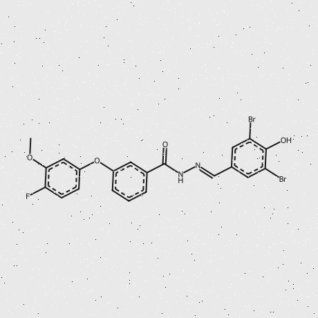 COc1cc(Oc2cccc(C(=O)N/N=C/c3cc(Br)c(O)c(Br)c3)c2)ccc1F